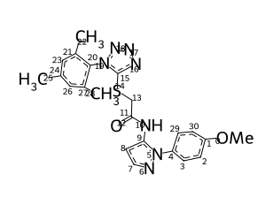 COc1ccc(-n2nccc2NC(=O)CSc2nnnn2-c2c(C)cc(C)cc2C)cc1